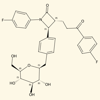 O=C(CC[C@H]1C(=O)N(c2ccc(F)cc2)[C@@H]1c1ccc(C[C@@H]2O[C@H](CO)[C@@H](O)[C@H](O)[C@H]2O)cc1)c1ccc(F)cc1